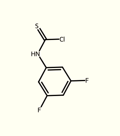 Fc1cc(F)cc(NC(=S)Cl)c1